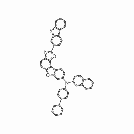 c1ccc(-c2ccc(N(c3ccc4ccccc4c3)c3ccc4c(c3)oc3ccc5nc(-c6ccc7c(c6)sc6ccccc67)oc5c34)cc2)cc1